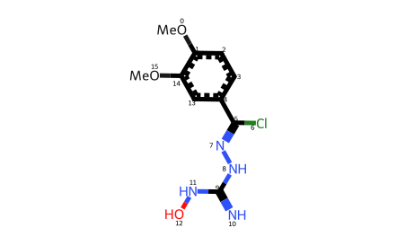 COc1ccc(C(Cl)=NNC(=N)NO)cc1OC